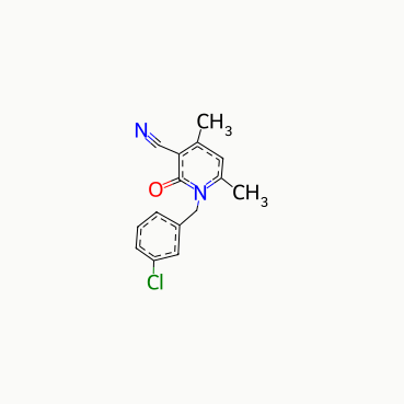 Cc1cc(C)n(Cc2cccc(Cl)c2)c(=O)c1C#N